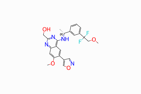 COCC(F)(F)c1cccc([C@@H](C)Nc2nc(CO)nc3cc(OC)c(-c4cnoc4)cc23)c1